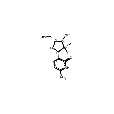 C[C@@]1(F)[C@H](O)[C@@H](CO)N[C@H]1c1cnc(N)[nH]c1=O